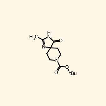 CC1=NC2(CCN(C(=O)OC(C)(C)C)CC2)C(=O)N1